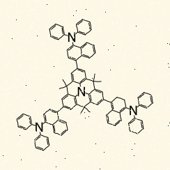 CC1(C)c2cc(C3=c4ccccc4=C(N(C4=CCCC=C4)c4ccccc4)CC3)cc3c2N2c4c1cc(-c1ccc(N(c5ccccc5)c5ccccc5)c5ccccc15)cc4C(C)(C)c1cc(-c4ccc(N(c5ccccc5)c5ccccc5)c5ccccc45)cc(c12)C3(C)C